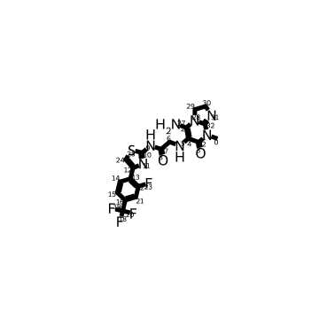 CN1C(=O)C(NCC(=O)Nc2nc(-c3ccc(C(F)(F)F)cc3F)cs2)=C(N)N2CCN=C12